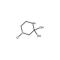 [O-][S+]1CCNC(O)(O)C1